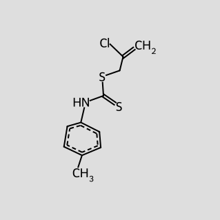 C=C(Cl)CSC(=S)Nc1ccc(C)cc1